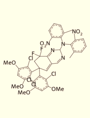 COc1cc(OC)c(Cl)c(C2(c3c(Cl)c(OC)cc(OC)c3Cl)C=C3C=NC(N(c4c(C)cccc4[N+](=O)[O-])c4c(C)cccc4[N+](=O)[O-])N=C3C(F)(F)C2)c1Cl